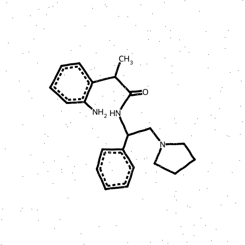 CC(C(=O)NC(CN1CCCC1)c1ccccc1)c1ccccc1N